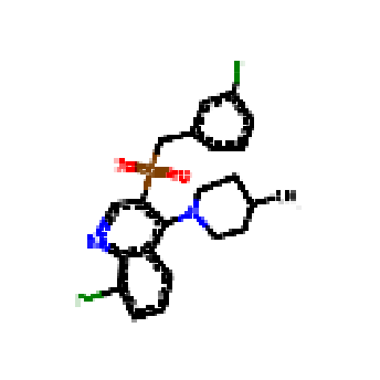 CC1CCN(c2c(S(=O)(=O)Cc3cccc(F)c3)cnc3c(F)cccc23)CC1